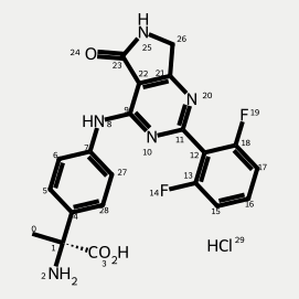 C[C@@](N)(C(=O)O)c1ccc(Nc2nc(-c3c(F)cccc3F)nc3c2C(=O)NC3)cc1.Cl